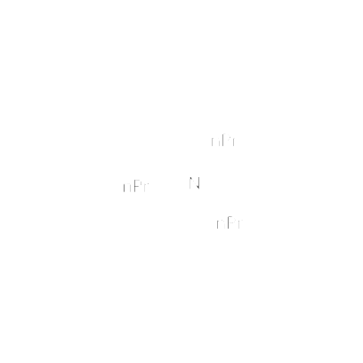 CC[CH]N(CCC)CCC